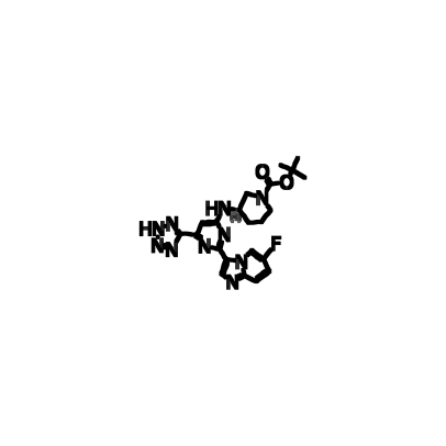 CC(C)(C)OC(=O)N1CCC[C@@H](Nc2cc(-c3nn[nH]n3)nc(-c3cnc4ccc(F)cn34)n2)C1